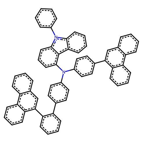 c1ccc(-n2c3ccccc3c3c(N(c4ccc(-c5ccccc5-c5cc6ccccc6c6ccccc56)cc4)c4ccc(-c5cc6ccccc6c6ccccc56)cc4)cccc32)cc1